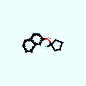 ClC1(Oc2ccc3ccccc3c2)CCCC1